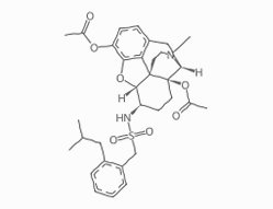 CC(=O)Oc1ccc2c3c1O[C@H]1[C@H](NS(=O)(=O)Cc4ccccc4CC(C)C)CC[C@@]4(OC(C)=O)[C@@H](C2)N(C)CC[C@]314